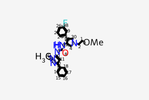 COCCN1C[C@@H](NC(=O)Nc2cc(-c3ccccc3)nn2C)[C@H](c2cccc(F)c2)C1